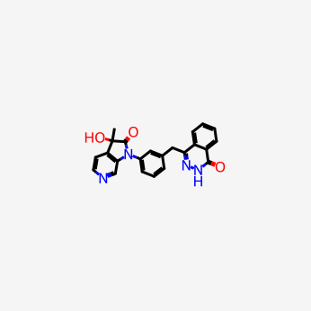 CC1(O)C(=O)N(c2cccc(Cc3n[nH]c(=O)c4ccccc34)c2)c2cnccc21